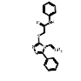 C=Cn1c(SCC(=O)Nc2ccccc2)nnc1-c1ccccc1